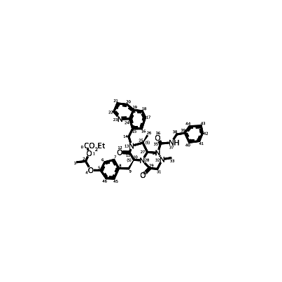 CCOC(=O)OC(C)Oc1ccc(C[C@H]2C(=O)N(Cc3cccc4cccnc34)[C@@H](C)C3N2C(=O)CN(C)N3C(=O)NCc2ccccc2)cc1